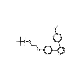 COc1ccc(-c2ncoc2-c2ccc(OCCO[Si](C)(C)C(C)(C)C)cc2)cc1